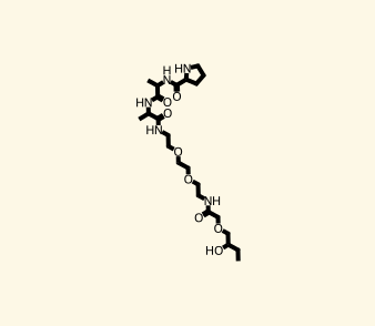 CCC(O)COCC(=O)NCCOCCOCCNC(=O)C(C)NC(=O)C(C)NC(=O)C1CCCN1